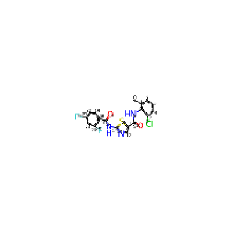 Cc1cccc(Cl)c1NC(=O)c1cnc(NC(=O)c2ccc(F)cc2F)s1